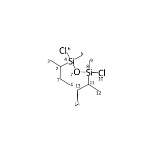 CCC(C)[Si](C)(Cl)O[Si](C)(Cl)C(C)CC